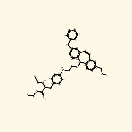 CCCc1ccc2c(c1)C=Cc1cc(Cc3ccccc3)ccc1C2OCCOc1ccc(CC(OCC)C(=O)OCC)cc1